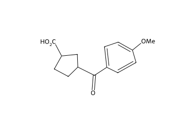 COc1ccc(C(=O)C2CCC(C(=O)O)C2)cc1